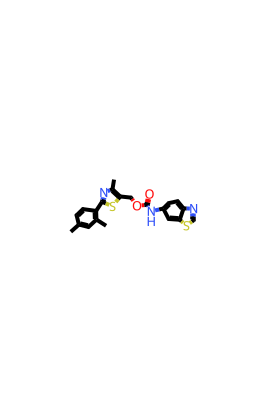 Cc1ccc(-c2nc(C)c(COC(=O)Nc3ccc4ncsc4c3)s2)c(C)c1